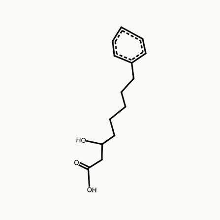 O=C(O)CC(O)CCCCCc1ccccc1